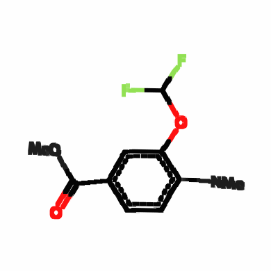 CNc1ccc(C(=O)OC)cc1OC(F)F